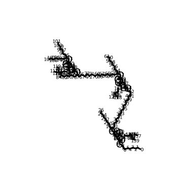 CCCCCC/C=C\COC(=O)CN(CC(=O)OC(CCCCCCCC)CCCCCCCCCCCCCC/C=C\COC(=O)CN(CC(=O)OC(CCCCCCCC)CCCCCCCCCCCCCCCC(CCCCCCC)OC(=O)CN(CC(=O)OC(CCCCCCC)CCCCCCC)C(=O)SCCCN(CC)CC)C(=O)SCCCN(C)C)C(=O)SCCCN(CC)CC